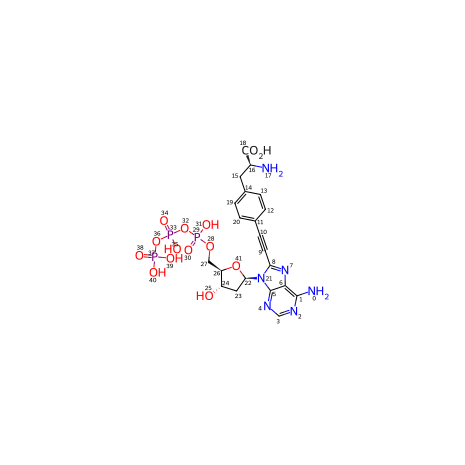 Nc1ncnc2c1nc(C#Cc1ccc(C[C@H](N)C(=O)O)cc1)n2[C@H]1C[C@H](O)[C@@H](COP(=O)(O)OP(=O)(O)OP(=O)(O)O)O1